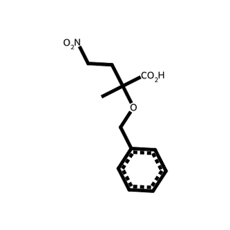 CC(CC[N+](=O)[O-])(OCc1ccccc1)C(=O)O